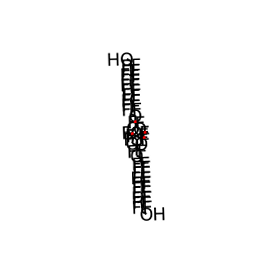 OCC(F)(F)C(F)(F)C(F)(F)C(F)(F)C(F)(F)C(F)(F)C(F)(F)C(F)(F)C(F)(F)C(F)(F)COC(F)(F)C1OC(F)(F)C2(C(F)(F)O1)C(F)(F)OC(C(F)(F)OCC(F)(F)C(F)(F)C(F)(F)C(F)(F)C(F)(F)C(F)(F)C(F)(F)C(F)(F)C(F)(F)C(F)(F)CO)OC2(F)F